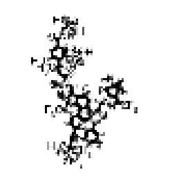 Cc1cc(C(=O)NCP(=O)(O)O)cc(OP(=O)(O)O)c1C(C)(C)CC(=O)N(Cc1nn(CC(F)(F)F)c2c(-c3ccc(C#CC(C)(C)S(C)(=O)=O)nc3[C@H](Cc3cc(F)cc(F)c3)NC(=O)Cn3nc(C(F)(F)F)c4c3C(F)(F)[C@@H]3C[C@H]43)ccc(Cl)c12)[SH](=O)=O